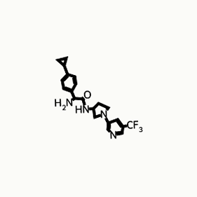 NC(C(=O)NC1CCN(c2cncc(C(F)(F)F)c2)C1)c1ccc(C2CC2)cc1